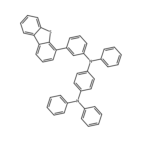 c1ccc(N(c2ccccc2)c2ccc(N(c3ccccc3)c3cccc(-c4cccc5c4sc4ccccc45)c3)cc2)cc1